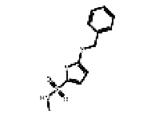 CNS(=O)(=O)c1ccc(SCc2ccccc2)s1